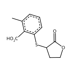 Cc1cccc(SC2CCOC2=O)c1C(=O)O